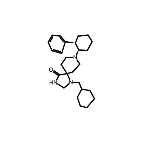 O=C1NCN(CC2CCCCC2)C12CCN([C@@H]1CCCC[C@@H]1c1ccccc1)CC2